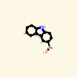 O=[As]c1ccc2[nH]c3ccccc3c2c1